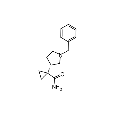 NC(=O)C1([C@@H]2CCN(Cc3ccccc3)C2)CC1